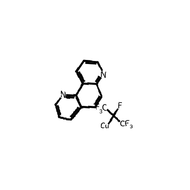 FC(F)(F)[C](F)([Cu])C(F)(F)F.c1cnc2c(c1)ccc1ncccc12